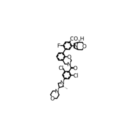 C[C@@H]1[C@@H](N2CCOCC2)CN1c1cc(Cl)c(C(=O)N2COc3c(cccc3-c3cc(N4C5CCC4COC5)c(C(=O)O)cc3F)C2)c(Cl)c1